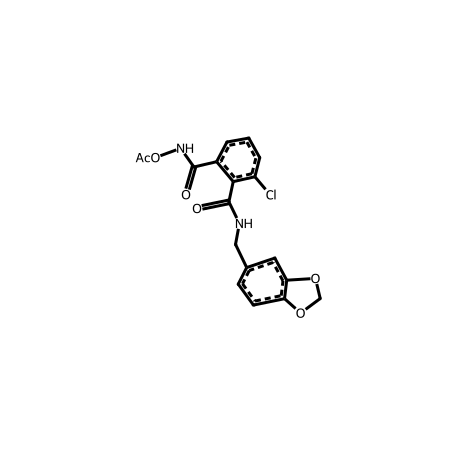 CC(=O)ONC(=O)c1cccc(Cl)c1C(=O)NCc1ccc2c(c1)OCO2